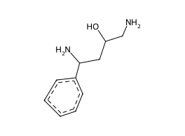 NCC(O)CC(N)c1ccccc1